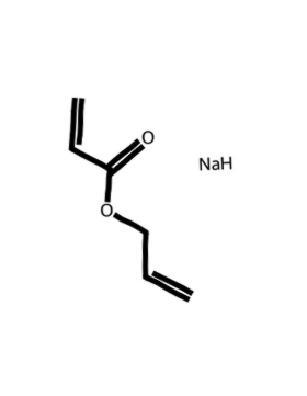 C=CCOC(=O)C=C.[NaH]